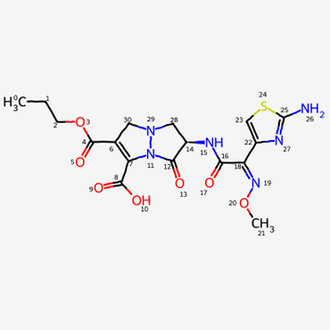 CCCOC(=O)C1=C(C(=O)O)N2C(=O)[C@H](NC(=O)/C(=N\OC)c3csc(N)n3)CN2C1